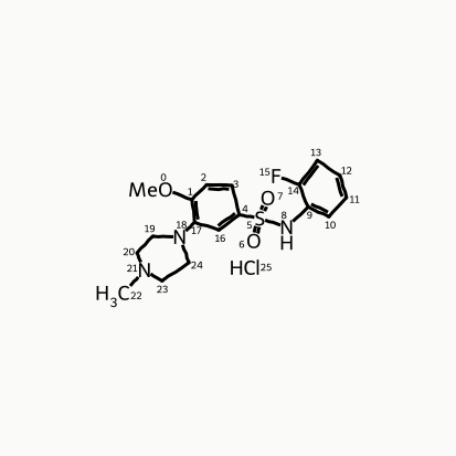 COc1ccc(S(=O)(=O)Nc2ccccc2F)cc1N1CCN(C)CC1.Cl